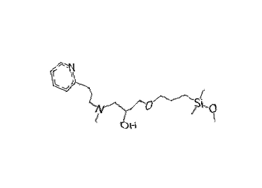 CO[Si](C)(C)CCCOCC(O)CN(C)CCc1ccccn1